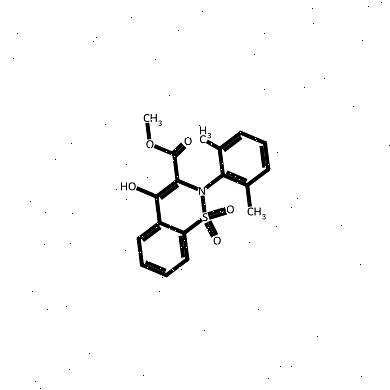 COC(=O)C1=C(O)c2ccccc2S(=O)(=O)N1c1c(C)cccc1C